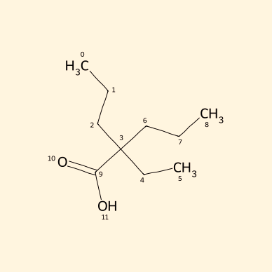 CCCC(CC)(CCC)C(=O)O